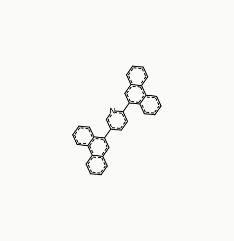 c1ccc2c(c1)cc(-c1ccc(-c3cc4ccccc4c4ccccc34)nc1)c1ccccc12